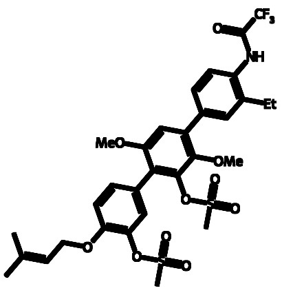 CCc1cc(-c2cc(OC)c(-c3ccc(OCC=C(C)C)c(OS(C)(=O)=O)c3)c(OS(C)(=O)=O)c2OC)ccc1NC(=O)C(F)(F)F